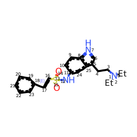 CCN(CC)CCc1c[nH]c2ccc(NS(=O)(=O)/C=C/c3ccccc3)cc12